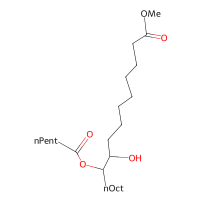 CCCCCCCCC(OC(=O)CCCCC)C(O)CCCCCCCC(=O)OC